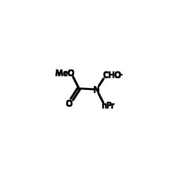 CCCN([C]=O)C(=O)OC